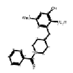 COc1cc(O)c(C(=O)O)c(CC2CCN(C(=O)c3ccccc3)CC2)c1